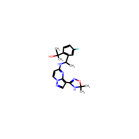 CC(Nc1ccn2ncc(C3=NOC(C)(C)N3)c2n1)c1cc(F)ccc1C(C)(C)O